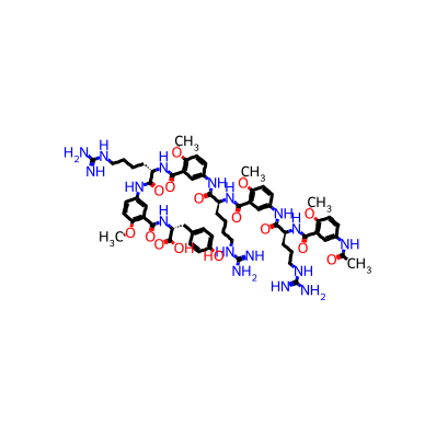 COc1ccc(NC(=O)[C@H](CCCCNC(=N)N)NC(=O)c2cc(NC(=O)[C@H](CCCNC(=N)N)NC(=O)c3cc(NC(C)=O)ccc3OC)ccc2OC)cc1C(=O)N[C@@H](CCCCNC(=N)N)C(=O)Nc1ccc(OC)c(C(=O)N[C@H](Cc2ccc(O)cc2)C(=O)O)c1